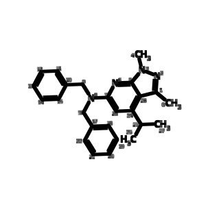 Cc1nn(C)c2nc(N(Cc3ccccc3)Cc3ccccc3)cc(C(C)C)c12